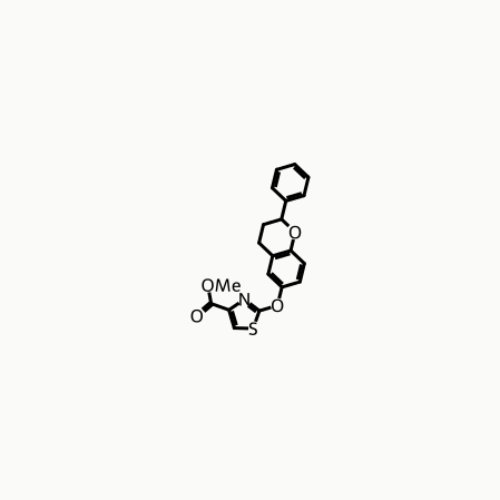 COC(=O)c1csc(Oc2ccc3c(c2)CCC(c2ccccc2)O3)n1